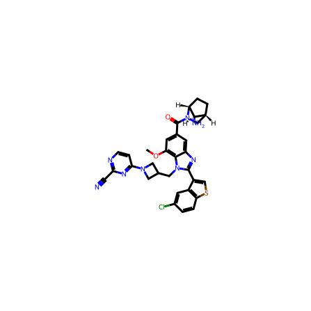 COc1cc(C(=O)N2C[C@H]3CC[C@@H]2[C@@H]3N)cc2nc(-c3csc4ccc(Cl)cc34)n(CC3CN(c4ccnc(C#N)n4)C3)c12